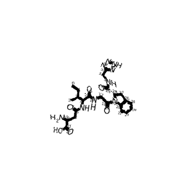 CCC(C)C(NC(=O)CC(N)C(=O)O)C(=O)NCC(=O)N1c2ccccc2C[C@H]1C(=O)NCc1nn[nH]n1